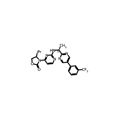 CC(C)C1COC(=O)N1c1ccnc(N[C@@H](C)c2ncc(-c3cccc(C(F)(F)F)c3)cn2)n1